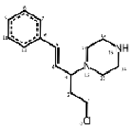 ClCCC(C=Cc1ccccc1)N1CCNCC1